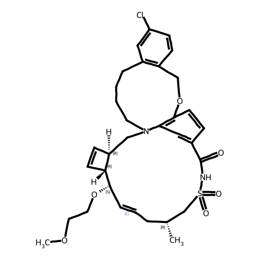 COCCO[C@H]1/C=C/C[C@@H](C)CS(=O)(=O)NC(=O)c2ccc3c(c2)N(CCCCc2cc(Cl)ccc2CO3)C[C@@H]2C=C[C@@H]12